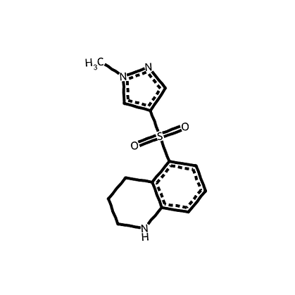 Cn1cc(S(=O)(=O)c2cccc3c2CCCN3)cn1